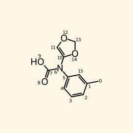 Cc1cccc(N(C(=O)O)C2=COCO2)c1